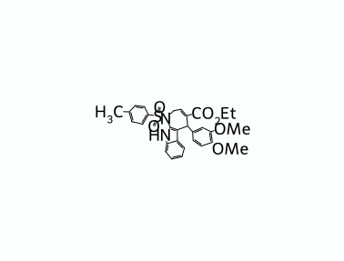 CCOC(=O)C1=CCN(S(=O)(=O)c2ccc(C)cc2)c2[nH]c3ccccc3c2C1c1ccc(OC)c(OC)c1